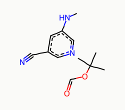 CC(C)(C)OC=O.CNc1cncc(C#N)c1